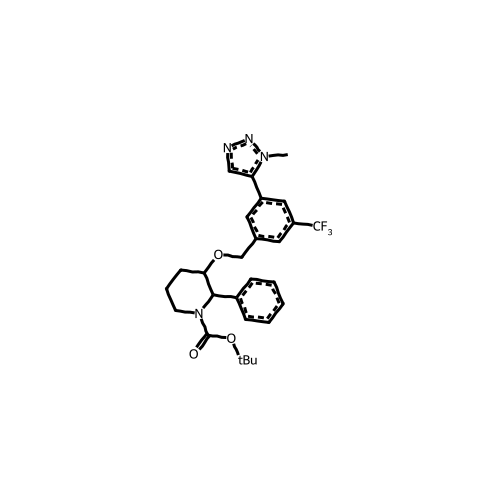 Cn1nncc1-c1cc(COC2CCCN(C(=O)OC(C)(C)C)C2c2ccccc2)cc(C(F)(F)F)c1